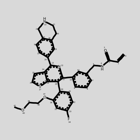 C=CC(=O)NCc1cccc(-c2nc(-c3ccc4c(c3)CCNC4)c3ccsc3c2-c2ccc(F)cc2OCCOC)c1